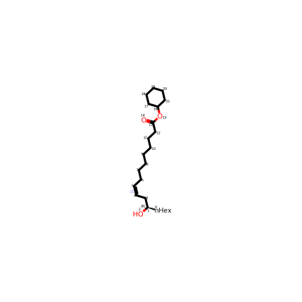 CCCCCC[C@@H](O)C/C=C\CCCCCCCC(=O)OC1CCCCC1